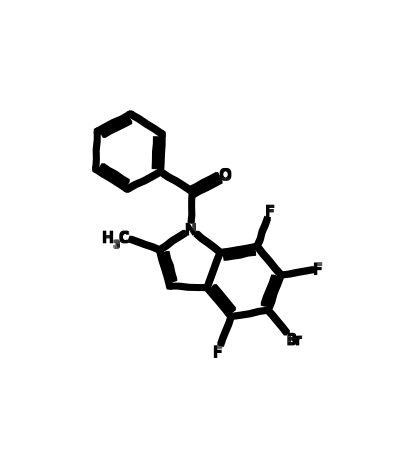 Cc1cc2c(F)c(Br)c(F)c(F)c2n1C(=O)c1ccccc1